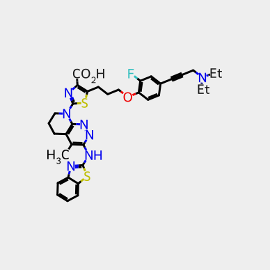 CCN(CC)CC#Cc1ccc(OCCCc2sc(N3CCCc4c3nnc(Nc3nc5ccccc5s3)c4C)nc2C(=O)O)c(F)c1